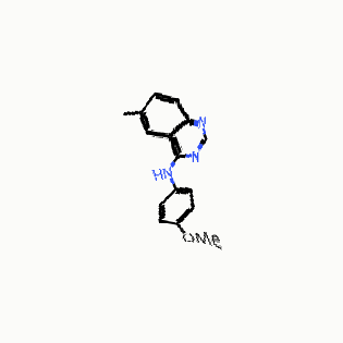 COc1ccc(Nc2ncnc3ccc(C)cc23)cc1